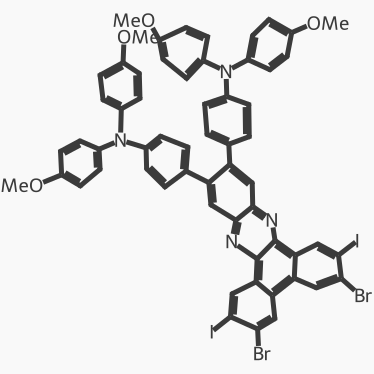 COc1ccc(N(c2ccc(OC)cc2)c2ccc(-c3cc4nc5c6cc(I)c(Br)cc6c6cc(Br)c(I)cc6c5nc4cc3-c3ccc(N(c4ccc(OC)cc4)c4ccc(OC)cc4)cc3)cc2)cc1